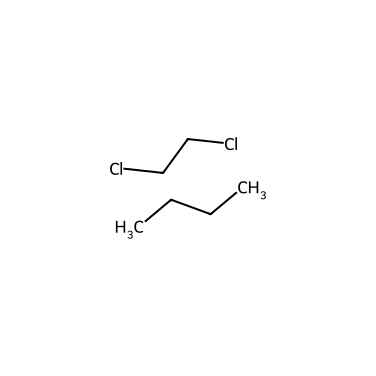 CCCC.ClCCCl